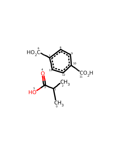 CC(C)C(=O)O.O=C(O)c1ccc(C(=O)O)cc1